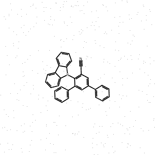 N#Cc1cc(-c2ccccc2)cc(-c2ccccc2)c1-n1c2ccccc2c2ccccc21